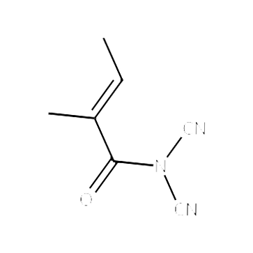 CC=C(C)C(=O)N(C#N)C#N